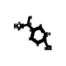 CCc1ccc(C(C)N)cn1